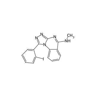 CNc1nc2nnc(-c3ccccc3I)n2c2ccccc12